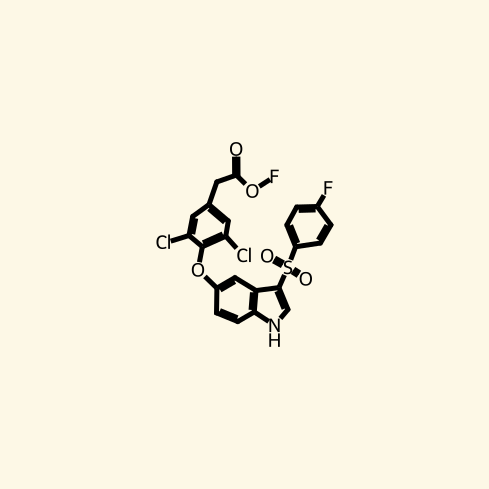 O=C(Cc1cc(Cl)c(Oc2ccc3[nH]cc(S(=O)(=O)c4ccc(F)cc4)c3c2)c(Cl)c1)OF